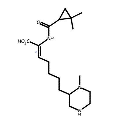 CN1CCNCC1CCCC/C=C(\NC(=O)C1CC1(C)C)C(=O)O